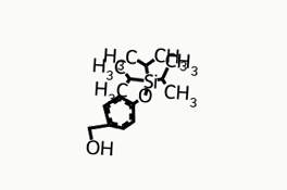 CC(C)[Si](Oc1ccc(CO)cc1)(C(C)C)C(C)C